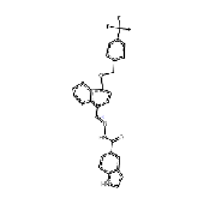 O=C(N/N=C/c1ccc(OCc2ccc(C(F)(F)F)cc2)c2ccccc12)c1ccc2[nH]ccc2c1